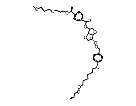 C=CCOOCCCCCCOc1ccc(COO[C@@H]2COC3C(OC(=O)c4ccc(C(=C)OCCCOCCCOC)cc4)COC32)cc1